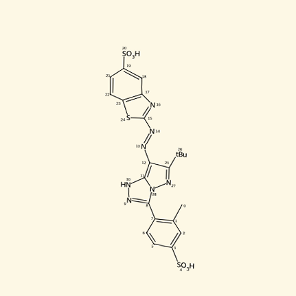 Cc1cc(S(=O)(=O)O)ccc1-c1n[nH]c2c(N=Nc3nc4cc(S(=O)(=O)O)ccc4s3)c(C(C)(C)C)nn12